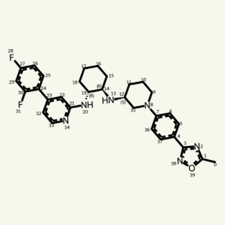 Cc1nc(-c2ccc(N3CCC[C@H](N[C@@H]4CCCC[C@H]4Nc4cc(-c5ccc(F)cc5F)ccn4)C3)cc2)no1